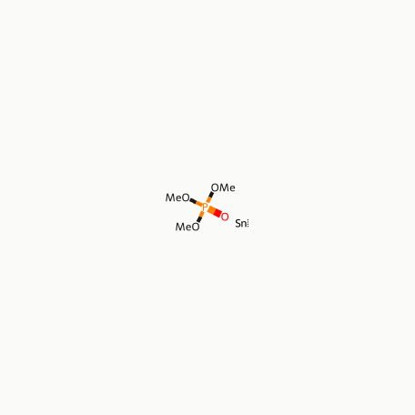 COP(=O)(OC)OC.[Sn]